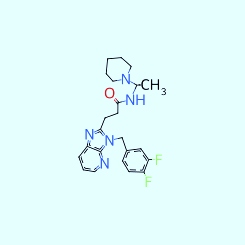 C[C@@H](NC(=O)CCc1nc2cccnc2n1Cc1ccc(F)c(F)c1)N1CCCCC1